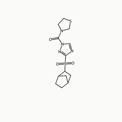 O=C(N1CCSC1)n1cnc(S(=O)(=O)C2CC3CCC2C3)n1